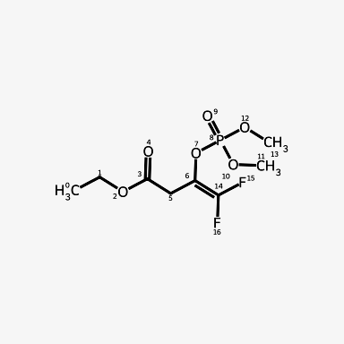 CCOC(=O)CC(OP(=O)(OC)OC)=C(F)F